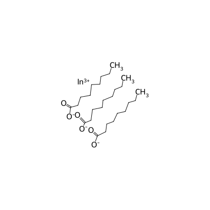 CCCCCCCCC(=O)[O-].CCCCCCCCC(=O)[O-].CCCCCCCCC(=O)[O-].[In+3]